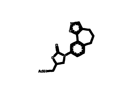 CC(=O)NCC1CN(c2ccc3c(c2)-c2oncc2CCC3)C(=O)O1